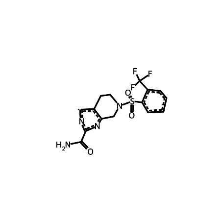 NC(=O)c1n[c]c2c(n1)CN(S(=O)(=O)c1ccccc1C(F)(F)F)CC2